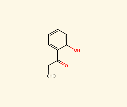 O=CCC(=O)c1ccccc1O